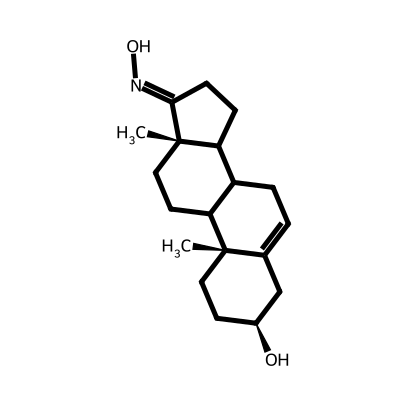 C[C@]12CC[C@H](O)CC1=CCC1C2CC[C@]2(C)/C(=N/O)CCC12